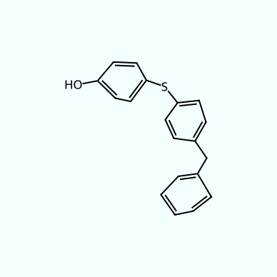 Oc1ccc(Sc2ccc(Cc3ccccc3)cc2)cc1